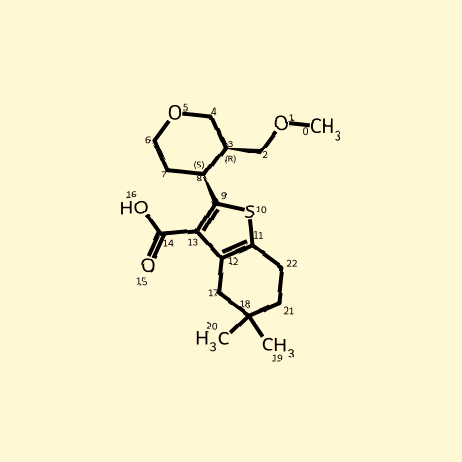 COC[C@@H]1COCC[C@@H]1c1sc2c(c1C(=O)O)CC(C)(C)CC2